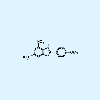 COc1ccc(-c2cc3cc(C(=O)O)cc([N+](=O)[O-])c3[nH]2)cc1